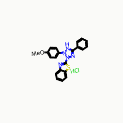 COc1ccc(N2NC(c3ccccc3)=NN2c2nc3ccccc3s2)cc1.Cl